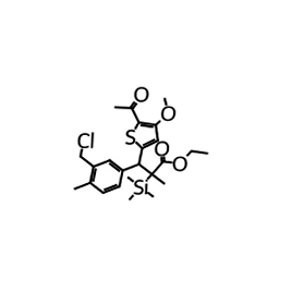 CCOC(=O)C(C)(C(c1ccc(C)c(CCl)c1)c1cc(OC)c(C(C)=O)s1)[Si](C)(C)C